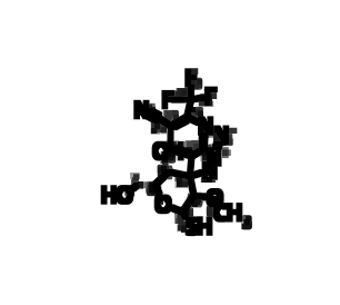 CO[C@H]1[C@@H](S)O[C@H](CO)[C@H](O)C1(N=[N+]=[N-])c1cnc(C(F)(F)F)c(C#N)c1